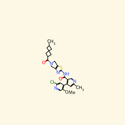 COc1cnc(Cl)cc1-c1cc(C)ncc1C(=O)Nc1nc2c(s1)CN(C(=O)C1CC3(CC(C)C3)C1)C2